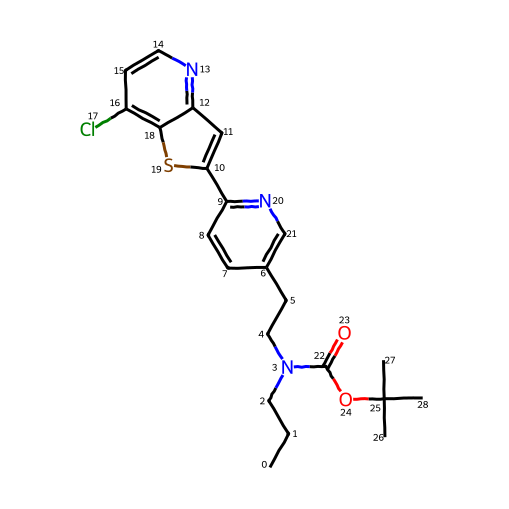 CCCN(CCc1ccc(-c2cc3nccc(Cl)c3s2)nc1)C(=O)OC(C)(C)C